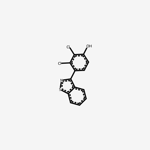 Oc1ccc(-c2nsc3ccccc23)c(Cl)c1Cl